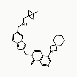 C=C1c2cncc(N3CC4(CCCCC4)C3)c2C=CN1Cc1cn2cc(CNCC34CC3(F)C4)ccc2n1